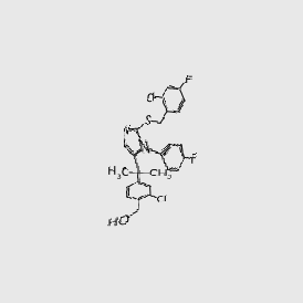 CC(C)(c1ccc(CO)c(Cl)c1)c1cnc(SCc2ccc(F)cc2Cl)n1-c1ccc(F)cc1